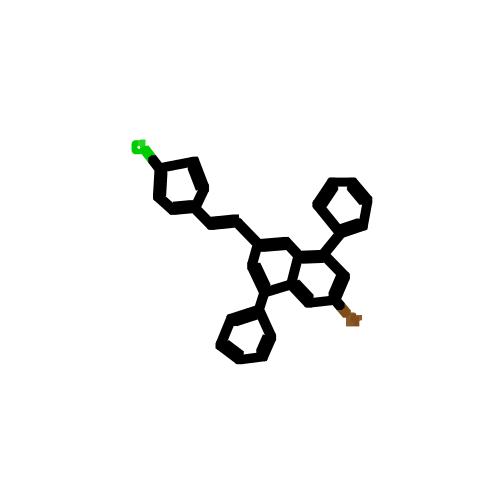 Clc1ccc(/C=C/c2cc(-c3ccccc3)c3cc(Br)cc(-c4ccccc4)c3c2)cc1